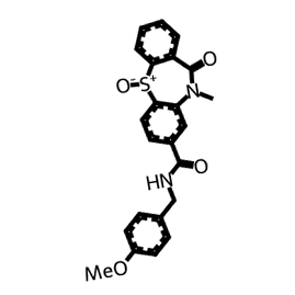 COc1ccc(CNC(=O)c2ccc3c(c2)N(C)C(=O)c2ccccc2[S+]3[O-])cc1